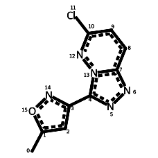 Cc1cc(-c2nnc3ccc(Cl)nn23)no1